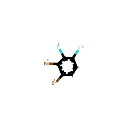 Fc1[c]cc(Br)c(Br)c1F